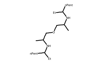 CCCCCC(CC)NC(C)COCC(C)NC(CC)CCCCC